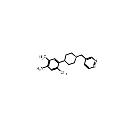 Cc1cc(C2CCN(Cc3ccnnc3)CC2)c(C)cc1N